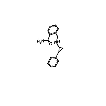 NC(=O)c1ccccc1CNC1CC1c1ccccc1